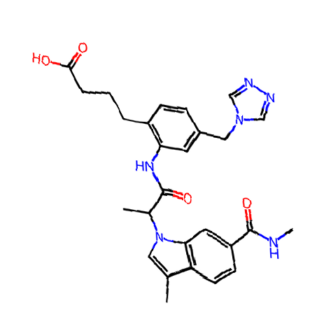 CNC(=O)c1ccc2c(C)cn(C(C)C(=O)Nc3cc(Cn4cnnc4)ccc3CCCC(=O)O)c2c1